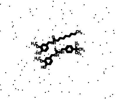 CCCCCCCCC(=O)NCc1ccc(O)c(OC)c1.COc1cc(CNC(=S)NCc2ccc(C(C)(C)C)cc2)ccc1O